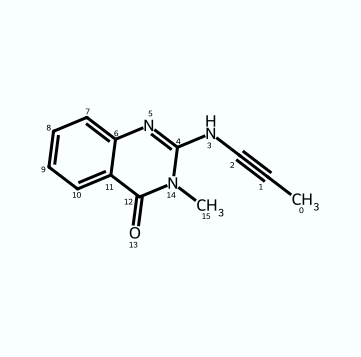 CC#CNc1nc2ccccc2c(=O)n1C